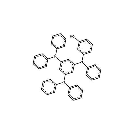 Oc1cccc(N(c2cc(N(c3ccccc3)c3ccccc3)cc(N(c3ccccc3)c3ccccc3)c2)c2ccccn2)c1